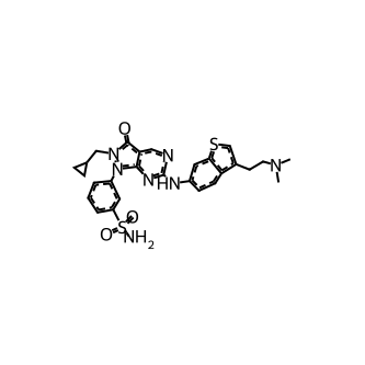 CN(C)CCc1csc2cc(Nc3ncc4c(=O)n(CC5CC5)n(-c5cccc(S(N)(=O)=O)c5)c4n3)ccc12